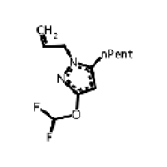 C=CCn1nc(OC(F)F)cc1CCCCC